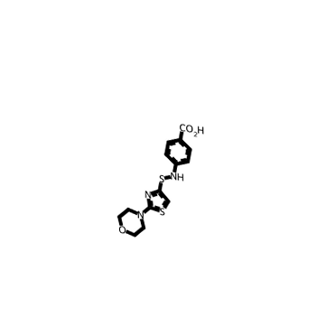 O=C(O)c1ccc(NSc2csc(N3CCOCC3)n2)cc1